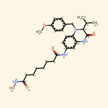 COc1ccc(CN2c3ccc(NC(=O)CCCCCCC(=O)NO)cc3NC(=O)C2C(C)C)cc1